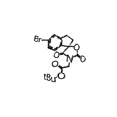 CC(C)(C)OC(=O)CN1C(=O)O[C@]2(CCc3cc(Br)ccc32)C1=O